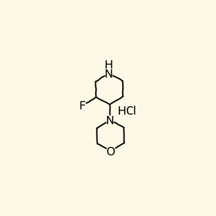 Cl.FC1CNCCC1N1CCOCC1